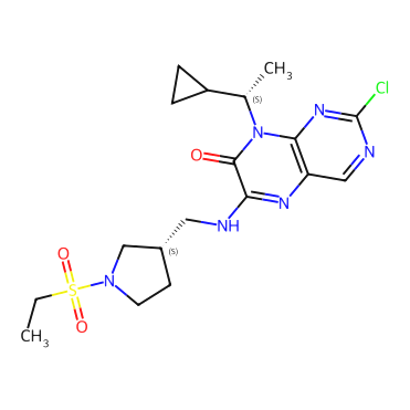 CCS(=O)(=O)N1CC[C@@H](CNc2nc3cnc(Cl)nc3n([C@@H](C)C3CC3)c2=O)C1